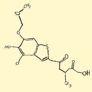 COCOc1cc2sc(C(=O)CC(C)C(=O)O)cc2c(Cl)c1O